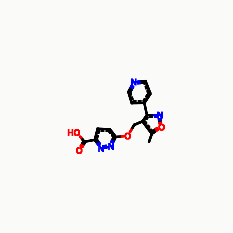 Cc1onc(-c2ccncc2)c1COc1ccc(C(=O)O)nn1